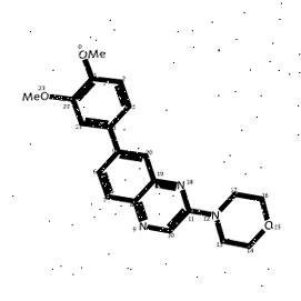 COc1ccc(-c2ccc3ncc(N4CCOCC4)nc3c2)cc1OC